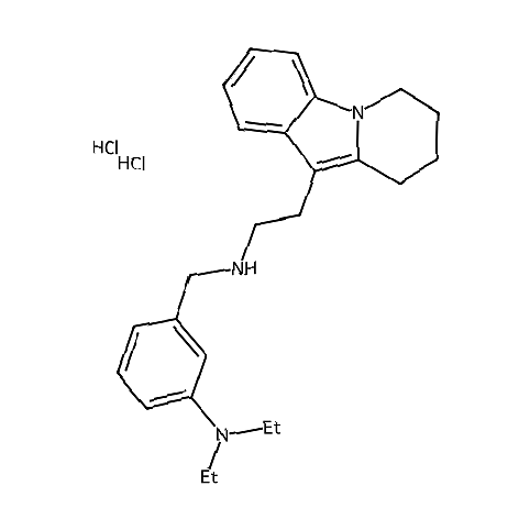 CCN(CC)c1cccc(CNCCc2c3n(c4ccccc24)CCCC3)c1.Cl.Cl